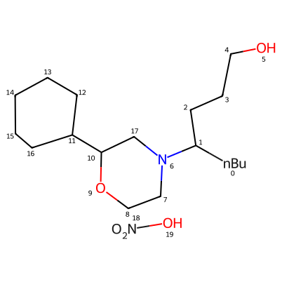 CCCCC(CCCO)N1CCOC(C2CCCCC2)C1.O=[N+]([O-])O